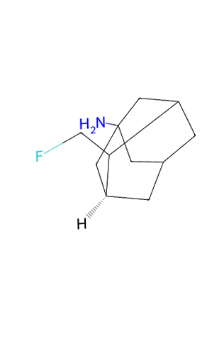 NC12CC3CC(C1)C(CF)[C@@H](C3)C2